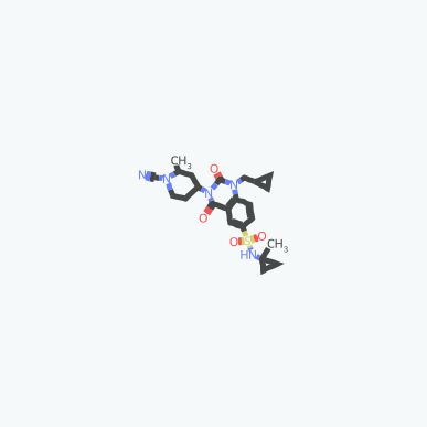 CC1CC(n2c(=O)c3cc(S(=O)(=O)NC4(C)CC4)ccc3n(CC3CC3)c2=O)CCN1C#N